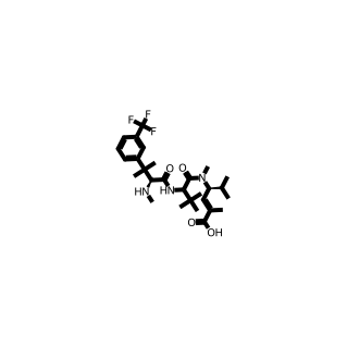 CN[C@H](C(=O)NC(C(=O)N(C)[C@H](/C=C(\C)C(=O)O)C(C)C)C(C)(C)C)C(C)(C)c1cccc(C(F)(F)F)c1